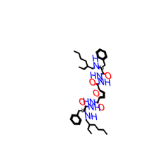 CCCCC(CC)CN[C@@H](Cc1ccccc1)C(=O)NNC(=O)c1ccc(C(=O)NNC(=O)[C@H](Cc2ccccc2)NCC(CC)CCCC)o1